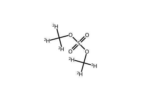 [2H]C([2H])([2H])OS(=O)(=O)OC([2H])([2H])[2H]